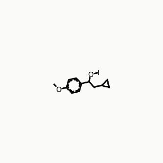 COc1ccc(C(CC2CC2)OI)cc1